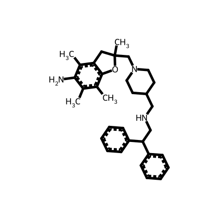 Cc1c(C)c2c(c(C)c1N)CC(C)(CN1CCC(CNCC(c3ccccc3)c3ccccc3)CC1)O2